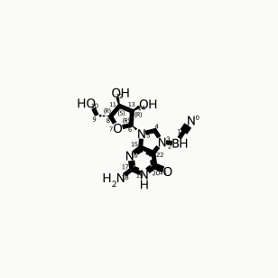 N#CBN1CN([C@@H]2O[C@H](CO)[C@@H](O)[C@H]2O)c2nc(N)[nH]c(=O)c21